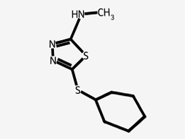 CNc1nnc(SC2CCCCC2)s1